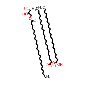 CCCCCCCCCCCCCCCCCCCCCCC(=O)O.CCCCCCCCCCCCCCCCCCCCCCC(=O)O.CCCCCCCCCCCCCCCCCCCCCCC(=O)OCC(O)CO